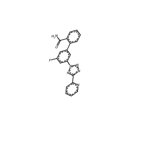 NC(=O)c1ccccc1-c1cc(F)cc(-n2nnc(-c3ccccn3)n2)c1